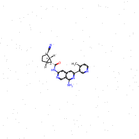 Cc1ccncc1-c1cc2cc(NC(=O)[C@@H]3[C@@H]4CC[C@@H](C#N)[C@@H]43)ncc2c(N)n1